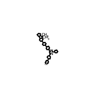 CC1(C)c2ccccc2-c2ccc(-c3ccc(-c4ccc(-c5cc(-c6ccc(-c7ccncc7)cc6)nc(-c6ccccc6)n5)cc4)cc3)cc21